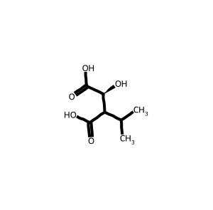 CC(C)C(C(=O)O)[C@H](O)C(=O)O